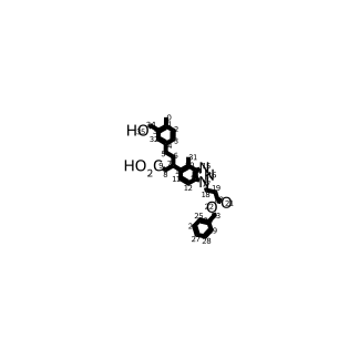 Cc1ccc(CCC(CC(=O)O)c2ccc3c(nnn3CCC(=O)OCc3ccccc3)c2C)cc1CO